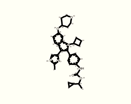 Cc1nc(-c2c(-c3ccc(NC(=O)OC(C)C4CC4)cc3)n(C3CCC3)c3cc(OC4CCOCC4)ccc23)cs1